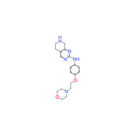 c1cc(OCCN2CCOCC2)ccc1Nc1ncc2c(n1)CNCC2